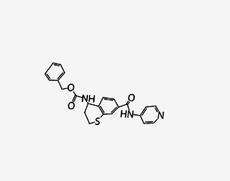 O=C(NC1CCSc2cc(C(=O)Nc3ccncc3)ccc21)OCc1ccccc1